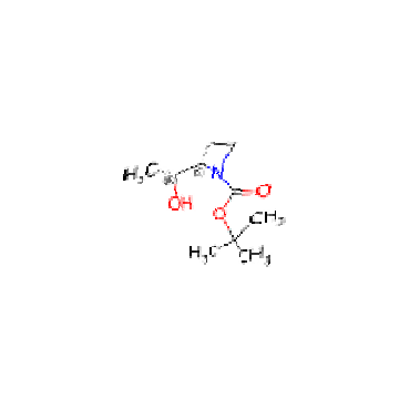 C[C@@H](O)[C@@H]1CCN1C(=O)OC(C)(C)C